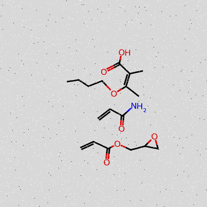 C=CC(=O)OCC1CO1.C=CC(N)=O.CCCCOC(C)=C(C)C(=O)O